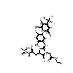 CCOC(=O)CN1C(=O)C(CC(=O)NS(C)(=O)=O)SC1=Nc1cc(-n2c(=O)cc(C(F)(F)F)n(C)c2=O)c(F)cc1Cl